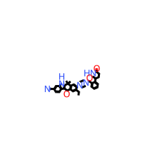 CCc1cc2c(cc1N1CCN(Cc3ccccc3C3CCC(=O)NC3=O)CC1)C(C)(C)c1[nH]c3cc(C#N)ccc3c1C2=O